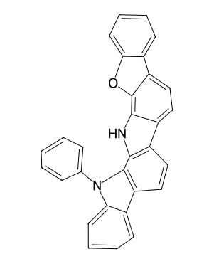 c1ccc(-n2c3ccccc3c3ccc4c5ccc6c7ccccc7oc6c5[nH]c4c32)cc1